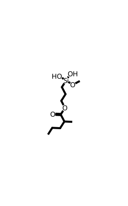 CCCC(C)C(=O)OCCC[Si](O)(O)OC